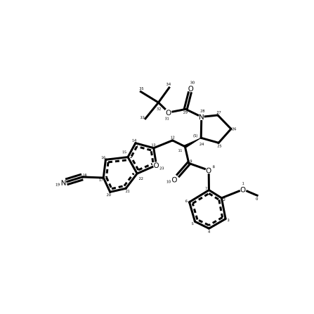 COc1ccccc1OC(=O)C(Cc1cc2cc(C#N)ccc2o1)[C@@H]1CCCN1C(=O)OC(C)(C)C